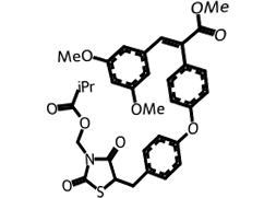 COC(=O)/C(=C/c1cc(OC)cc(OC)c1)c1ccc(Oc2ccc(CC3SC(=O)N(COC(=O)C(C)C)C3=O)cc2)cc1